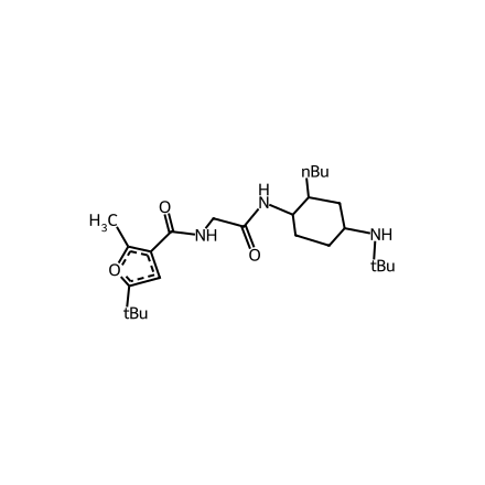 CCCCC1CC(NC(C)(C)C)CCC1NC(=O)CNC(=O)c1cc(C(C)(C)C)oc1C